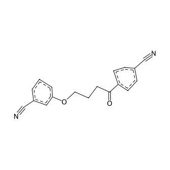 N#Cc1ccc(C(=O)CCCOc2cccc(C#N)c2)cc1